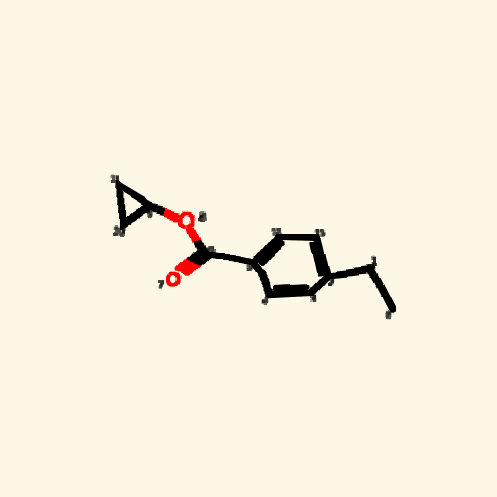 CCc1ccc(C(=O)OC2CC2)cc1